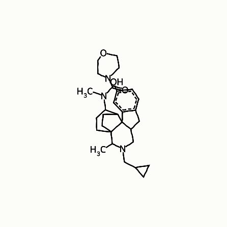 CC1N(CC2CC2)CC2Cc3ccc(O)cc3C23C2CCC13CCC2N(C)C(=O)N1CCOCC1